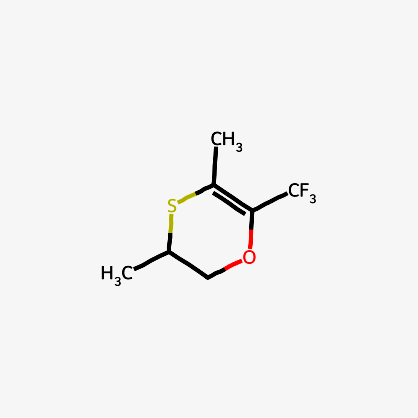 CC1=C(C(F)(F)F)OCC(C)S1